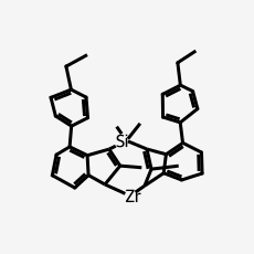 CCc1ccc(-c2cccc3c2C2=C(C)[CH]3[Zr][CH]3C(C)=C(c4c(-c5ccc(CC)cc5)cccc43)[Si]2(C)C)cc1